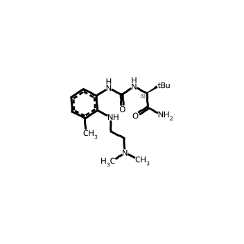 Cc1cccc(NC(=O)N[C@H](C(N)=O)C(C)(C)C)c1NCCN(C)C